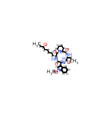 CCC(=O)CCCCC[C@@H]1NC(=O)C(c2cn(OC)c3ccccc23)NC(=O)C(CC)NC(=O)C2CCCCN2C1=O